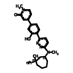 CCC[C@]1(C)CCCC[C@H](N(C)c2ccc(-c3ccc(-c4ccn(C)c(=O)c4)cc3O)nn2)C1